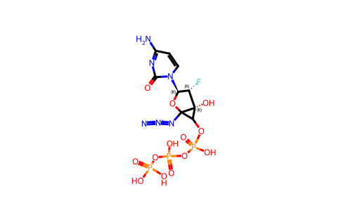 [N-]=[N+]=NC12O[C@@H](n3ccc(N)nc3=O)[C@H](F)[C@@]1(O)C2OP(=O)(O)OP(=O)(O)OP(=O)(O)O